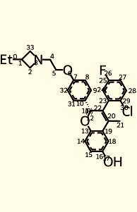 CCC1CN(CCOc2ccc([C@H]3Oc4ccc(O)cc4C(C)=C3c3cc(F)ccc3Cl)cc2)C1